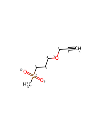 C#CCOCCCS(C)(=O)=O